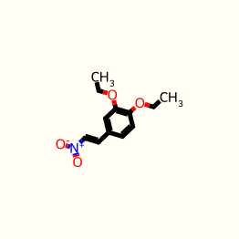 CCOc1ccc(C=C[N+](=O)[O-])cc1OCC